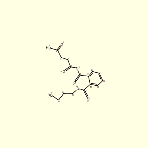 O=C(O)CCC(=O)OC(=O)c1ccccc1C(=O)OCCCO